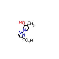 CC1CCN(c2nccc(C(=O)O)n2)CC1O